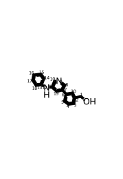 OCc1cccc(-c2cncc(Nc3ccccc3)c2)c1